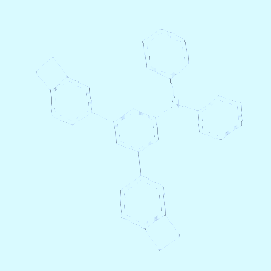 c1ccc(N(c2ccccc2)c2cc(-c3ccc4c(c3)CC4)cc(-c3ccc4c(c3)CC4)c2)cc1